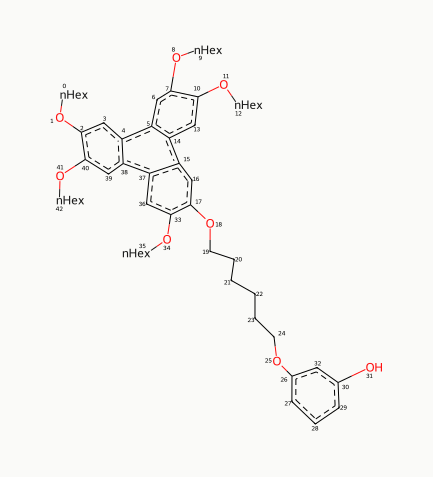 CCCCCCOc1cc2c3cc(OCCCCCC)c(OCCCCCC)cc3c3cc(OCCCCCCOc4cccc(O)c4)c(OCCCCCC)cc3c2cc1OCCCCCC